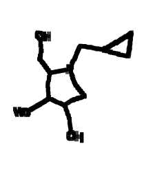 OCC1C(O)C(O)CN1CC1CC1